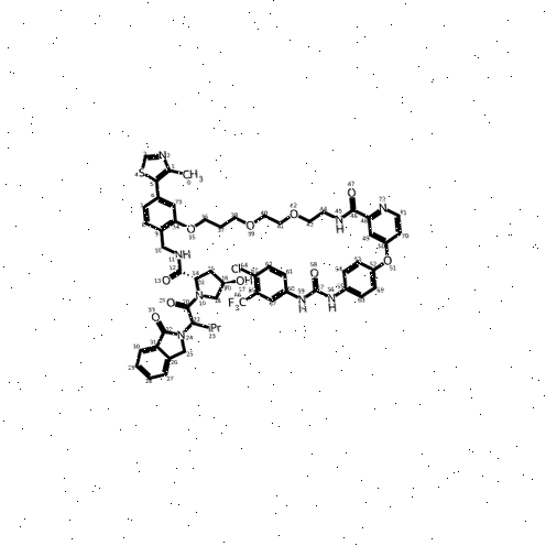 Cc1ncsc1-c1ccc(CNC(=O)[C@@H]2C[C@@H](O)CN2C(=O)C(C(C)C)N2Cc3ccccc3C2=O)c(OCCCOCCOCCNC(=O)c2cc(Oc3ccc(NC(=O)Nc4ccc(Cl)c(C(F)(F)F)c4)cc3)ccn2)c1